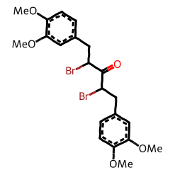 COc1ccc(CC(Br)C(=O)C(Br)Cc2ccc(OC)c(OC)c2)cc1OC